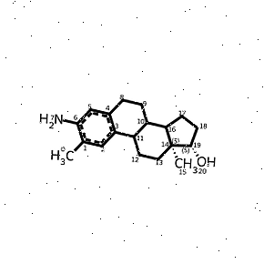 Cc1cc2c(cc1N)CCC1C2CC[C@@]2(C)C1CC[C@@H]2O